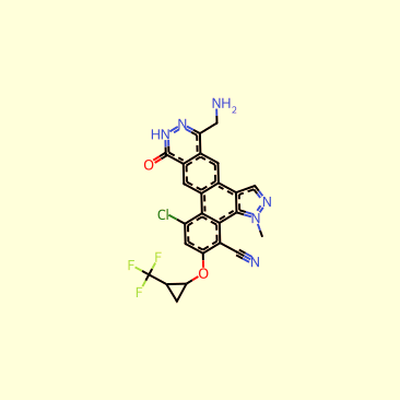 Cn1ncc2c3cc4c(CN)n[nH]c(=O)c4cc3c3c(Cl)cc(OC4CC4C(F)(F)F)c(C#N)c3c21